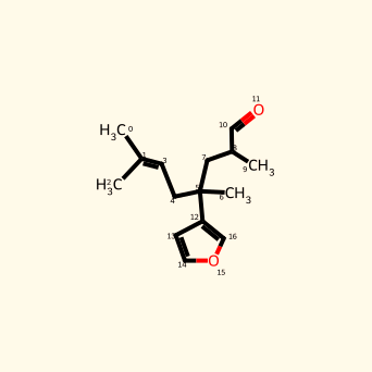 CC(C)=CCC(C)(CC(C)C=O)c1ccoc1